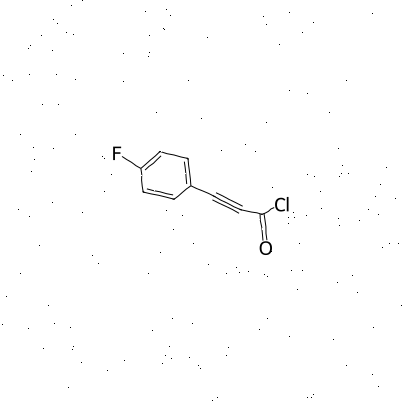 O=C(Cl)C#Cc1ccc(F)cc1